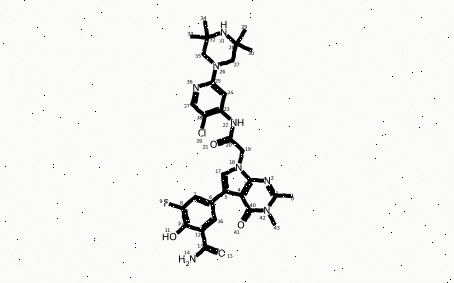 Cc1nc2c(c(-c3cc(F)c(O)c(C(N)=O)c3)cn2CC(=O)Nc2cc(N3CC(C)(C)NC(C)(C)C3)ncc2Cl)c(=O)n1C